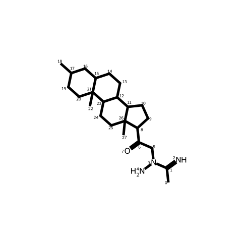 CC(=N)N(N)CC(=O)C1CCC2C3CCC4CC(C)CCC4(C)C3CCC12C